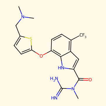 CN(C)Cc1ccc(Oc2ccc(C(F)(F)F)c3cc(C(=O)N(C)C(=N)N)[nH]c23)s1